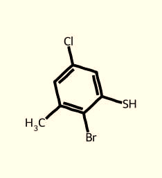 Cc1cc(Cl)cc(S)c1Br